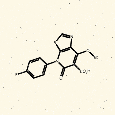 CCOc1c(C(=O)O)c(=O)n(-c2ccc(F)cc2)c2scnc12